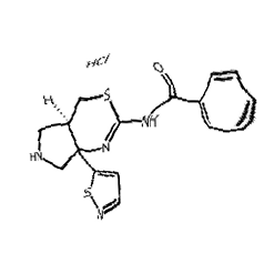 Cl.O=C(NC1=NC2(c3ccns3)CNC[C@H]2CS1)c1ccccc1